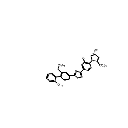 COCc1cc(-c2nc(-c3cnc(N4C[C@H](O)CC4C(=O)O)c(Cl)c3)no2)ccc1-c1ccccc1C